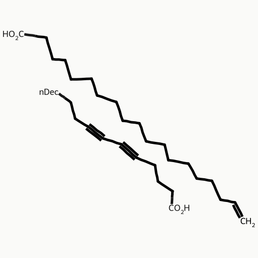 C=CCCCCCCCCCCCCCCCCC(=O)O.CCCCCCCCCCCCC#CC#CCCCC(=O)O